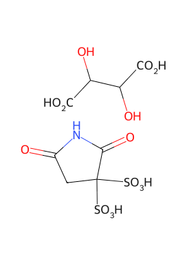 O=C(O)C(O)C(O)C(=O)O.O=C1CC(S(=O)(=O)O)(S(=O)(=O)O)C(=O)N1